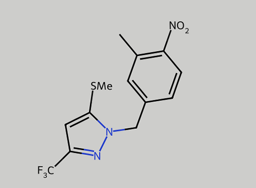 CSc1cc(C(F)(F)F)nn1Cc1ccc([N+](=O)[O-])c(C)c1